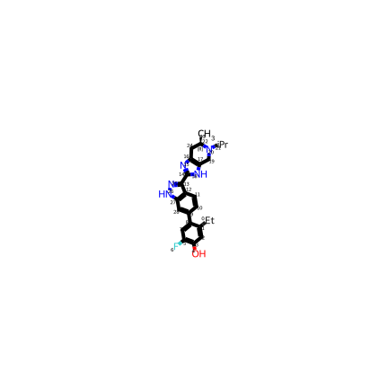 CCc1cc(O)c(F)cc1-c1ccc2c(-c3nc4c([nH]3)CN(C(C)C)[C@H](C)C4)n[nH]c2c1